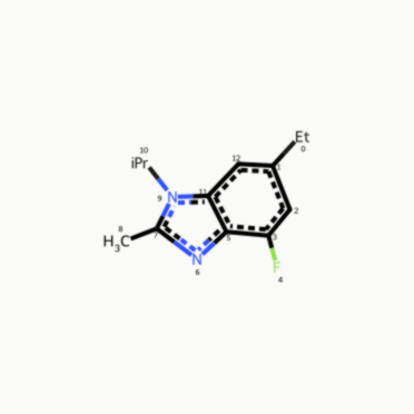 CCc1cc(F)c2nc(C)n(C(C)C)c2c1